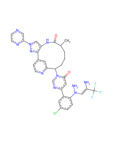 CC1CCCC(n2cnc(-c3cc(Cl)ccc3N(N)/C=C(\N)C(F)(F)F)cc2=O)c2cc(ccn2)-c2nn(-c3cnccn3)cc2NC1=O